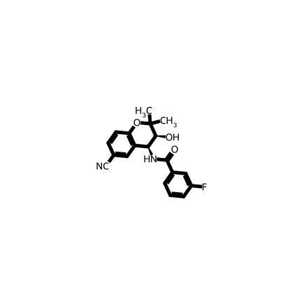 CC1(C)Oc2ccc(C#N)cc2[C@H](NC(=O)c2cccc(F)c2)[C@@H]1O